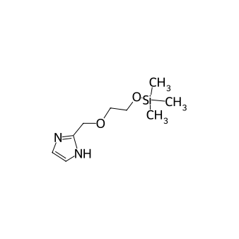 C[Si](C)(C)OCCOCc1ncc[nH]1